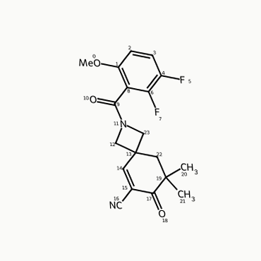 COc1ccc(F)c(F)c1C(=O)N1CC2(C=C(C#N)C(=O)C(C)(C)C2)C1